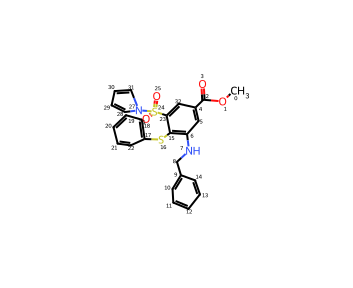 COC(=O)c1cc(NCc2ccccc2)c(Sc2ccccc2)c(S(=O)(=O)n2cccc2)c1